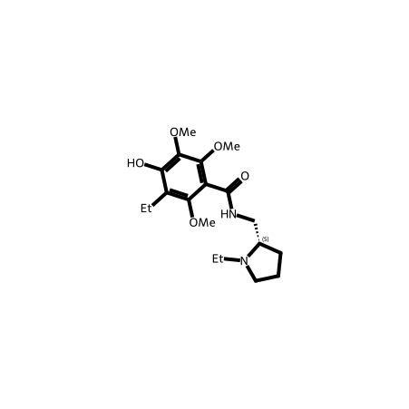 CCc1c(O)c(OC)c(OC)c(C(=O)NC[C@@H]2CCCN2CC)c1OC